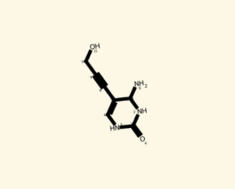 NC1NC(=O)NC=C1C#CCO